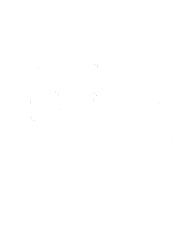 CN(C(=O)O)[C@H](C(=O)N1CCCC1c1ncc(-c2ccc(Br)cc2)[nH]1)c1ccccc1